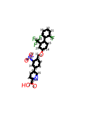 O=C(O)c1ccc(-c2ccc(COc3ccc(-c4ccccc4F)c(C(F)(F)F)c3)c([N+](=O)[O-])c2)cn1